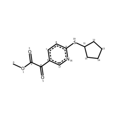 COC(=O)C(=O)c1ccc(SC2CCCC2)nc1